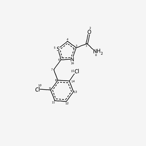 NC(=O)c1csc(Cc2c(Cl)cccc2Cl)n1